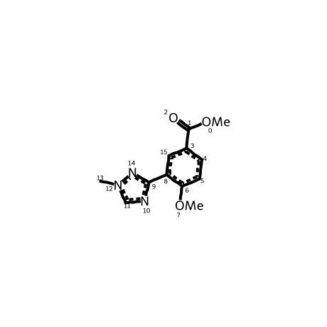 COC(=O)c1ccc(OC)c(-c2ncn(C)n2)c1